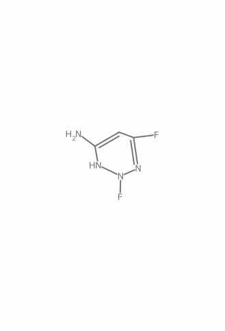 NC1=CC(F)=NN(F)N1